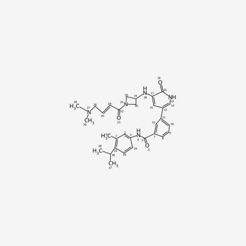 Cc1cc(NC(=O)c2cccc(-c3c[nH]c(=O)c(NC4CN(C(=O)C=CCN(C)C)C4)c3)c2)ccc1C(C)C